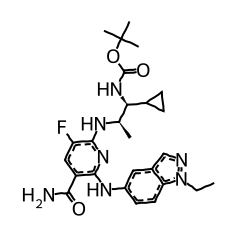 CCn1ncc2cc(Nc3nc(N[C@H](C)[C@@H](NC(=O)OC(C)(C)C)C4CC4)c(F)cc3C(N)=O)ccc21